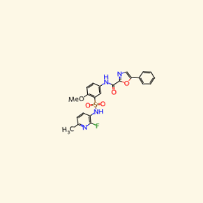 COc1ccc(NC(=O)c2ncc(-c3ccccc3)o2)cc1S(=O)(=O)Nc1ccc(C)nc1F